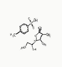 Cc1ccc(S(=O)(=O)O)cc1.O=C1O[C@H](C(O)CO)C(O)=C1O